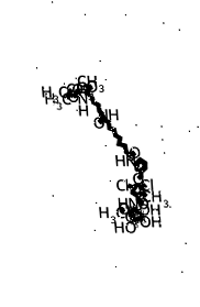 COC(=O)[C@H](CCCCNC(=O)CCCCCCCCC(=O)Nc1cccc(COc2c(Cl)cc(C(=O)N[C@H]3[C@@H](OC)O[C@H](CO)[C@@H](O)[C@@H]3O)c(C)c2Cl)c1)NC(=O)OC(C)(C)C